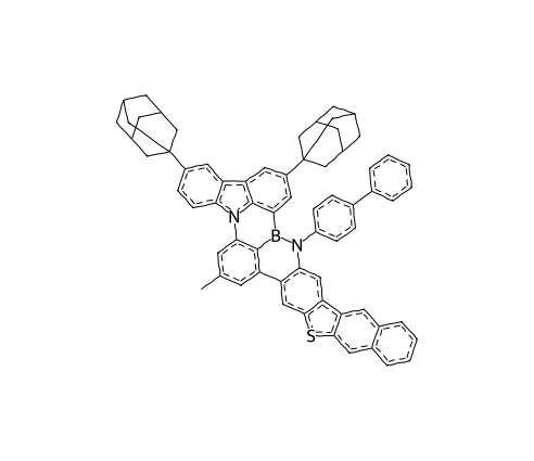 Cc1cc2c3c(c1)-n1c4ccc(C56CC7CC(CC(C7)C5)C6)cc4c4cc(C56CC7CC(CC(C7)C5)C6)cc(c41)B3N(c1ccc(-c3ccccc3)cc1)c1cc3c(cc1-2)sc1cc2ccccc2cc13